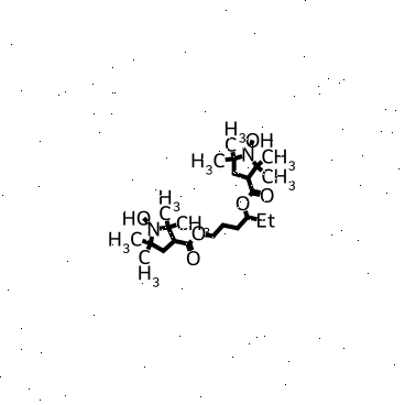 CCC(CCCOC(=O)C1CC(C)(C)N(O)C1(C)C)OC(=O)C1CC(C)(C)N(O)C1(C)C